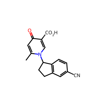 Cc1cc(=O)c(C(=O)O)cn1C1CCc2cc(C#N)ccc21